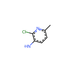 Cc1ccc([NH])c(Cl)n1